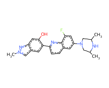 CC1CN(c2cc(F)c3nc(-c4cc5cn(C)nc5cc4O)ccc3c2)CC(C)N1